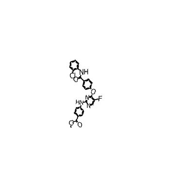 COC(=O)c1ccc(Nc2ncc(F)c(Oc3ccc(C(=O)Nc4ccccc4Cl)cc3)n2)cc1